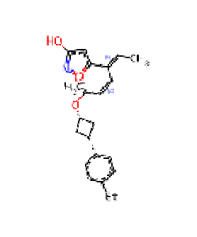 C=C(/C=C\C(=C/C)c1cc(O)no1)O[C@H]1C[C@@H](c2ccc(CC)cc2)C1